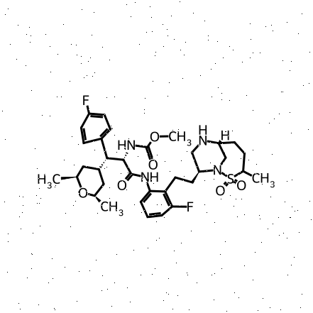 COC(=O)N[C@H](C(=O)Nc1cccc(F)c1CC[C@H]1CN[C@@H]2CCC(C)S(=O)(=O)N1C2)[C@@H](c1ccc(F)cc1)C1C[C@@H](C)O[C@@H](C)C1